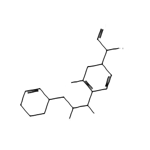 C=CC(CCCC)C1C=CC(C(O)C(C)CC2C=CCCC2)=C(C)C1